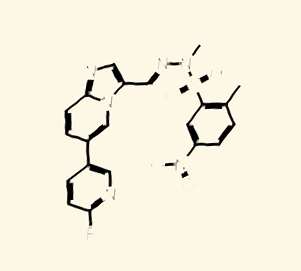 Cc1ccc([N+](=O)[O-])cc1S(=O)(=O)N(C)N=Cc1cnc2ccc(-c3ccc(F)nc3)cn12